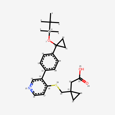 CC(C)(C)[Si](C)(C)OC1(c2ccc(-c3cnccc3SCC3(CC(=O)O)CC3)cc2)CC1